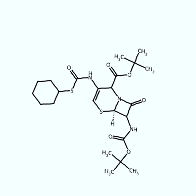 CC(C)(C)OC(=O)NC1C(=O)N2C(C(=O)OC(C)(C)C)C(NC(=O)SC3CCCCC3)=CS[C@H]12